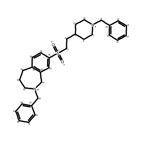 O=S(=O)(CCC1CCN(Cc2ccccc2)CC1)c1ccc2c(c1)CN(Cc1ccccc1)CCC2